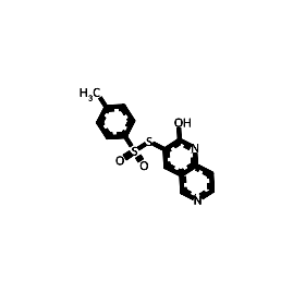 Cc1ccc(S(=O)(=O)Sc2cc3cnccc3nc2O)cc1